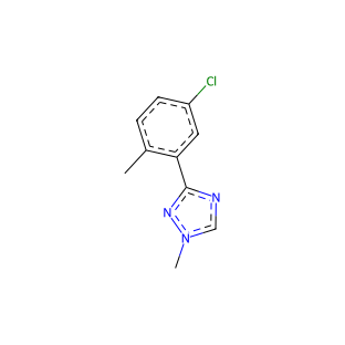 Cc1ccc(Cl)cc1-c1ncn(C)n1